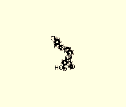 O=C(O)c1ccc2nc(CN3CCc4ccc(N5CCC(c6ccc(Cl)cc6F)C5)nc4C3)n(C[C@@H]3CCO3)c2c1